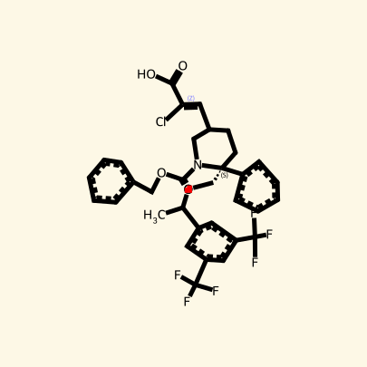 CC(OC[C@@]1(c2ccccc2)CCC(/C=C(\Cl)C(=O)O)CN1C(=O)OCc1ccccc1)c1cc(C(F)(F)F)cc(C(F)(F)F)c1